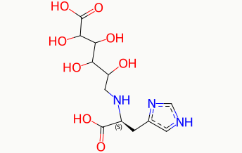 O=C(O)C(O)C(O)C(O)C(O)CN[C@@H](Cc1c[nH]cn1)C(=O)O